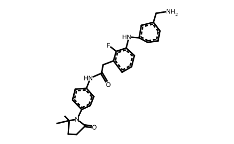 CC1(C)CCC(=O)N1c1ccc(NC(=O)Cc2cccc(Nc3cccc(CN)c3)c2F)cc1